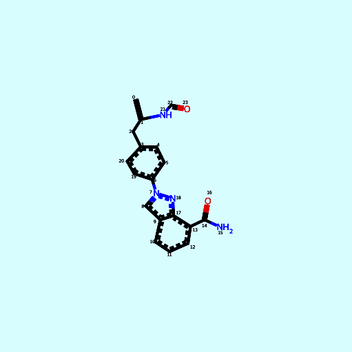 C=C(Cc1ccc(-n2cc3cccc(C(N)=O)c3n2)cc1)NC=O